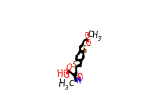 COC(=O)Cc1cc2cc3sc(-c4onc(C)c4C(=O)O)cc3cc2s1